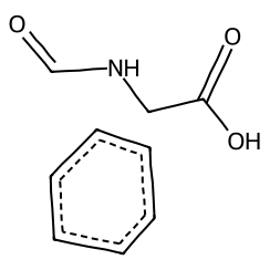 O=CNCC(=O)O.c1ccccc1